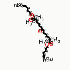 CCCCC#CCCCCOC(=O)C(C)(C)CCCCCC(=O)CCCCCC(C)(C)C(=O)OCCCCC#CCCCC